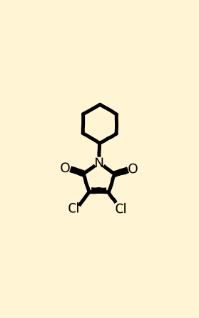 O=C1C(Cl)=C(Cl)C(=O)N1C1CCCCC1